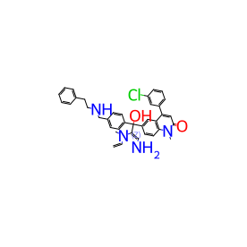 C=CN(C)/C(=C\N)C(O)(c1ccc(CNCCc2ccccc2)cc1)c1ccc2c(c1)c(-c1cccc(Cl)c1)cc(=O)n2C